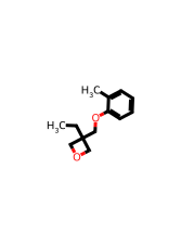 CCC1(COc2ccccc2C)COC1